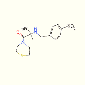 CCCC(C)(NCc1ccc([N+](=O)[O-])cc1)C(=O)N1CCSCC1